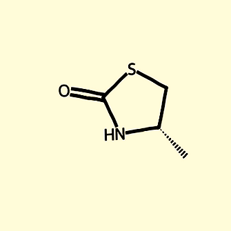 C[C@H]1CSC(=O)N1